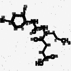 CCCN(NC(=O)Nc1ccc(Br)cc1F)C(=O)CCC(=O)O